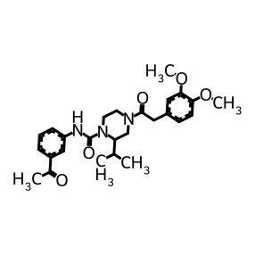 COc1ccc(CC(=O)N2CCN(C(=O)Nc3cccc(C(C)=O)c3)C(C(C)C)C2)cc1OC